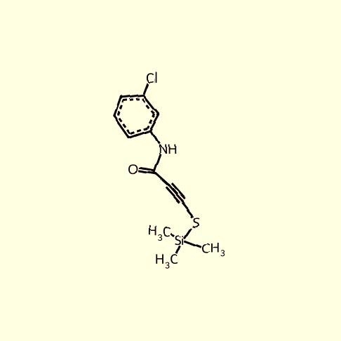 C[Si](C)(C)SC#CC(=O)Nc1cccc(Cl)c1